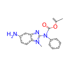 C=C(C)OC(=O)N(c1ccccc1)c1nc2cc(N)ccc2n1C